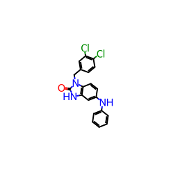 O=c1[nH]c2cc(Nc3ccccc3)ccc2n1Cc1ccc(Cl)c(Cl)c1